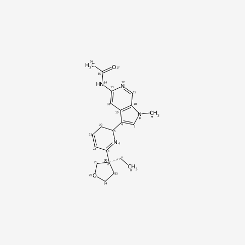 CC[C@]1(C2=NC(c3cn(C)c4cnc(NC(C)=O)cc34)CC=C2)CCOC1